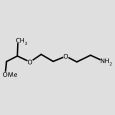 COCC(C)OCCOCCN